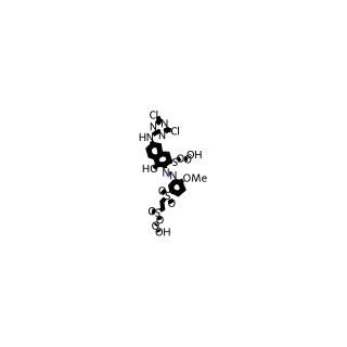 COc1ccc(S(=O)(=O)CCS(=O)OOO)cc1/N=N/c1c(SOOO)cc2cc(Nc3nc(Cl)nc(Cl)n3)ccc2c1O